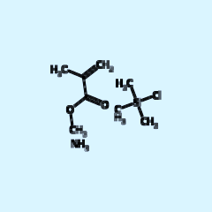 C=C(C)C(=O)OC.C[Si](C)(C)Cl.N